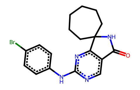 O=C1NC2(CCCCCC2)c2nc(Nc3ccc(Br)cc3)ncc21